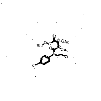 CC(=O)O[C@@H](C(=O)OOC(C)(C)C)[C@@H](OC(C)=O)C(=O)N(CCCl)c1ccc(Cl)cc1